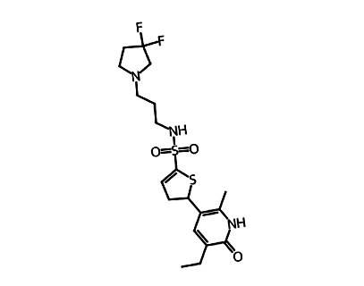 CCc1cc(C2CC=C(S(=O)(=O)NCCCN3CCC(F)(F)C3)S2)c(C)[nH]c1=O